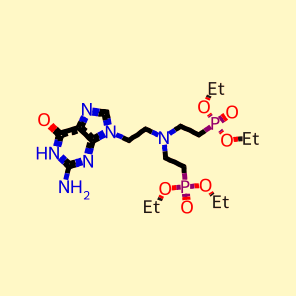 CCOP(=O)(CCN(CCn1cnc2c(=O)[nH]c(N)nc21)CCP(=O)(OCC)OCC)OCC